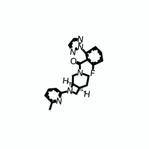 Cc1cccc(N2C[C@@H]3CCN(C(=O)c4c(F)cccc4-n4nccn4)C[C@@H]32)n1